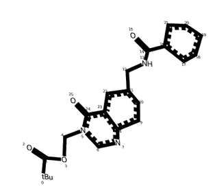 CC(C)(C)C(=O)OCn1cnc2ccc(CNC(=O)c3ccccc3)cc2c1=O